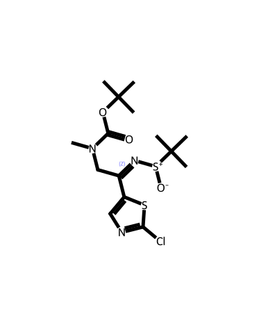 CN(C/C(=N/[S+]([O-])C(C)(C)C)c1cnc(Cl)s1)C(=O)OC(C)(C)C